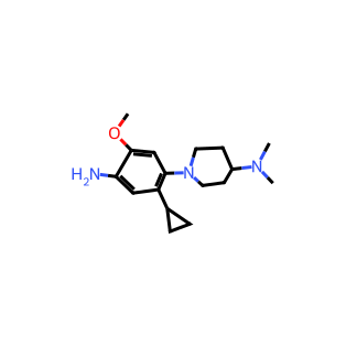 COc1cc(N2CCC(N(C)C)CC2)c(C2CC2)cc1N